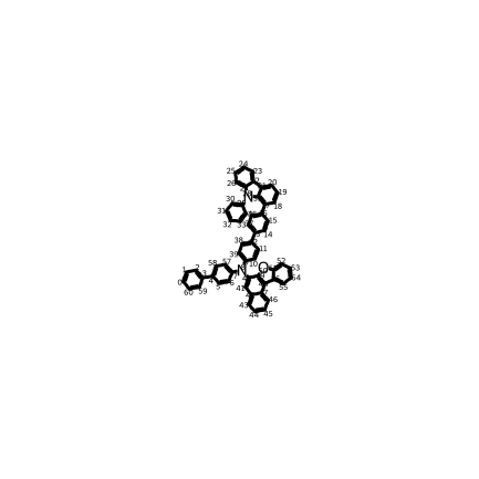 c1ccc(-c2ccc(N(c3ccc(-c4ccc(-c5cccc6c7ccccc7n(-c7ccccc7)c56)cc4)cc3)c3cc4ccccc4c4c3oc3ccccc34)cc2)cc1